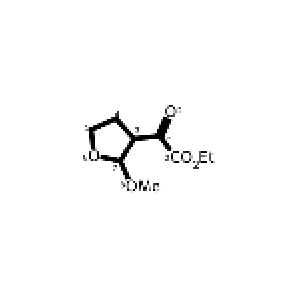 CCOC(=O)C(=O)C1CCOC1OC